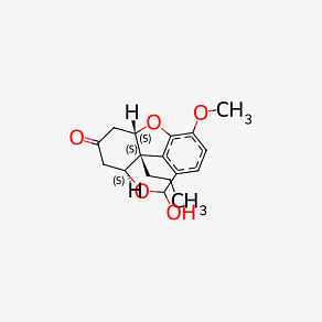 CCC[C@]12c3c4ccc(OC)c3O[C@H]1CC(=O)C[C@@H]2OC4O